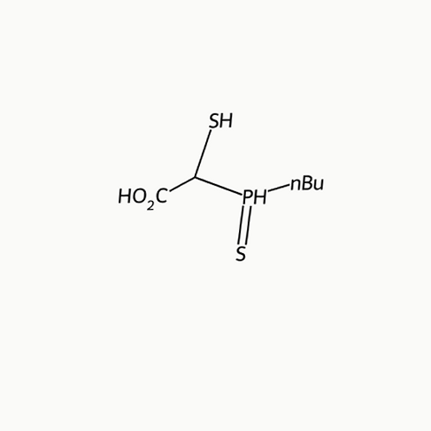 CCCC[PH](=S)C(S)C(=O)O